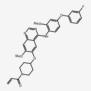 C=CC(=O)N1CCC(Oc2cc3c(Nc4ccc(Oc5cccc(F)c5)cc4OC)ncnc3cc2OC)CC1